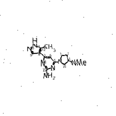 CN[C@@H]1CCN(c2cc(-c3cn[nH]c3C)nc(N)n2)C1